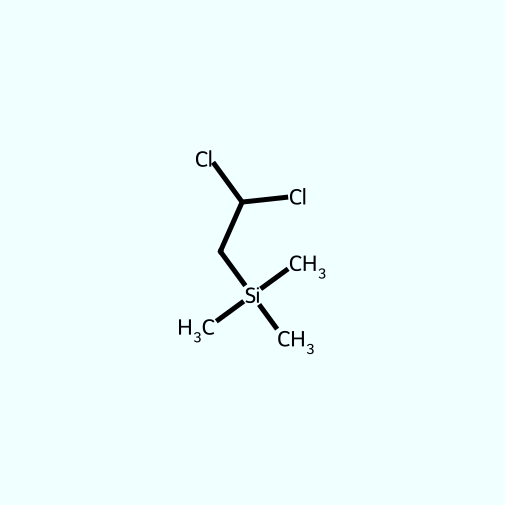 C[Si](C)(C)CC(Cl)Cl